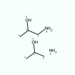 CC(C)O.CC(O)CN.N